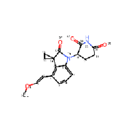 CCO/C=C/c1cccc2c1C1(CC1)C(=O)N2C1CCC(=O)NC1=O